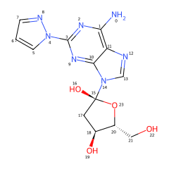 Nc1nc(-n2c[c]cn2)nc2c1ncn2[C@@]1(O)C[C@H](O)[C@@H](CO)O1